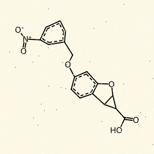 O=C(O)C1C2Oc3cc(OCc4cccc([N+](=O)[O-])c4)ccc3C21